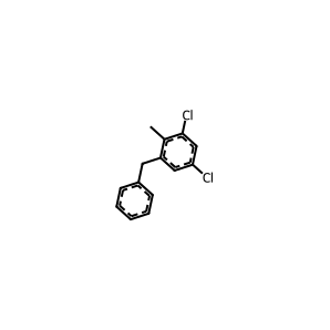 Cc1c(Cl)cc(Cl)cc1Cc1ccccc1